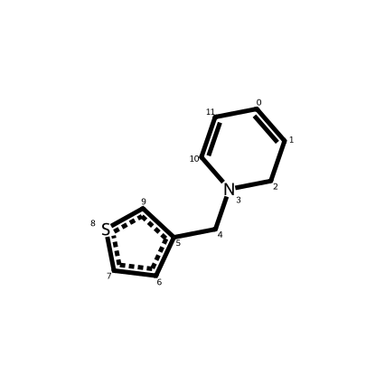 C1=CCN(Cc2ccsc2)C=C1